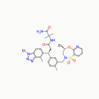 CC[C@@H]1CN(Cc2cc([C@H](CC(=O)NC(C)(C)C(N)=O)c3ccc4c(nnn4CC)c3C)ccc2C)S(=O)(=O)c2cccnc2O1